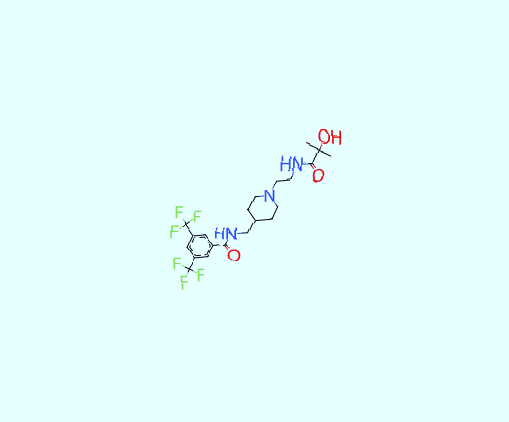 CC(C)(O)C(=O)NCCN1CCC(CNC(=O)c2cc(C(F)(F)F)cc(C(F)(F)F)c2)CC1